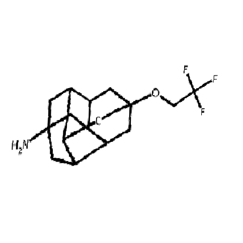 NC12CC3C4CC5(OCC(F)(F)F)CC3C(C1)C(C5)C4C2